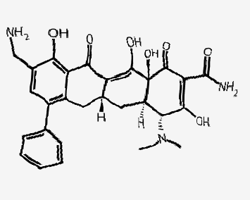 CN(C)[C@H]1C(O)=C(C(N)=O)C(=O)[C@@]2(O)C(O)=C3C(=O)c4c(O)c(CN)cc(-c5ccccc5)c4C[C@H]3C[C@H]12